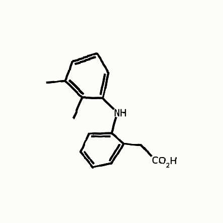 Cc1cccc(Nc2ccccc2CC(=O)O)c1C